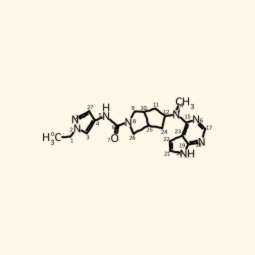 CCn1cc(NC(=O)N2CC3CC(N(C)c4ncnc5[nH]ccc45)CC3C2)cn1